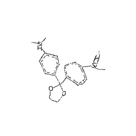 C[SiH](C)c1ccc(C2(c3ccc([SiH](C)C)cc3)OCCO2)cc1